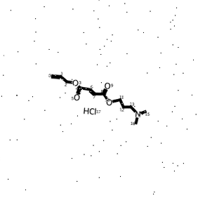 C=CCOC(=O)C=CC(=O)OCCCN(C)C.Cl